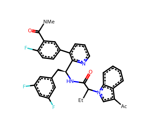 CCC(C(=O)N[C@@H](Cc1cc(F)cc(F)c1)c1ncccc1-c1ccc(F)c(C(=O)NC)c1)n1cc(C(C)=O)c2ccccc21